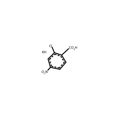 O=C(O)c1ccc([N+](=O)[O-])cc1Cl.[KH]